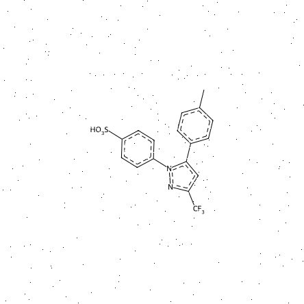 Cc1ccc(-c2cc(C(F)(F)F)nn2-c2ccc(S(=O)(=O)O)cc2)cc1